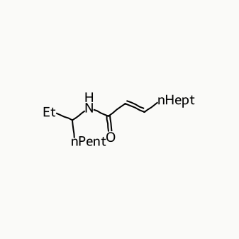 CCCCCCCC=CC(=O)NC(CC)CCCCC